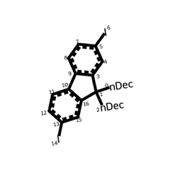 CCCCCCCCCCC1(CCCCCCCCCC)c2cc(I)ccc2-c2ccc(I)cc21